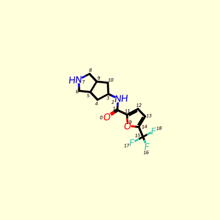 O=C(NC1CC2CNCC2C1)c1ccc(C(F)(F)F)o1